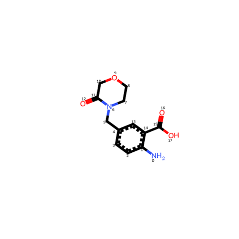 Nc1ccc(CN2CCOCC2=O)cc1C(=O)O